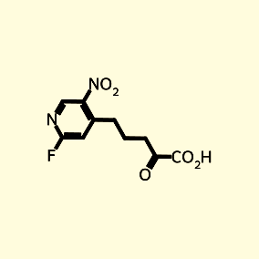 O=C(O)C(=O)CCCc1cc(F)ncc1[N+](=O)[O-]